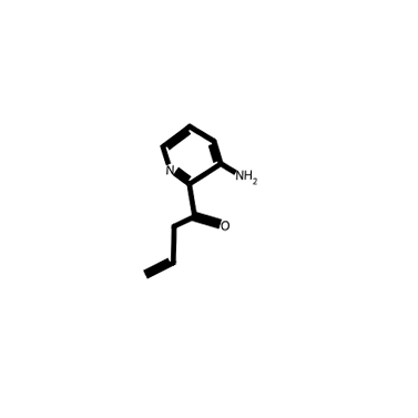 C=CCC(=O)c1ncccc1N